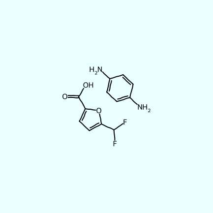 Nc1ccc(N)cc1.O=C(O)c1ccc(C(F)F)o1